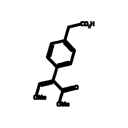 CO/C=C(\C(=O)OC)c1ccc(CC(=O)O)cc1